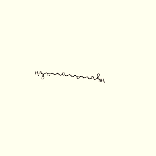 NC(=O)COCCCCOCCCCOCCCCOCC(N)=O